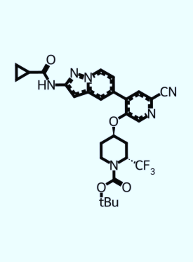 CC(C)(C)OC(=O)N1CC[C@@H](Oc2cnc(C#N)cc2-c2ccn3nc(NC(=O)C4CC4)cc3c2)C[C@@H]1C(F)(F)F